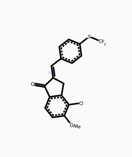 COc1ccc2c(c1Cl)C/C(=C\c1ccc(SC(F)(F)F)cc1)C2=O